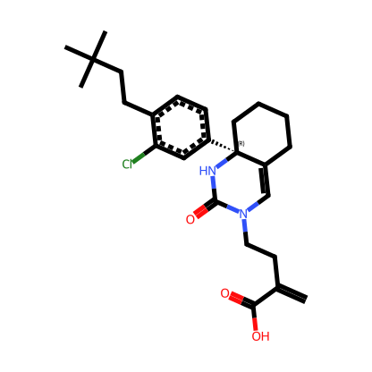 C=C(CCN1C=C2CCCC[C@]2(c2ccc(CCC(C)(C)C)c(Cl)c2)NC1=O)C(=O)O